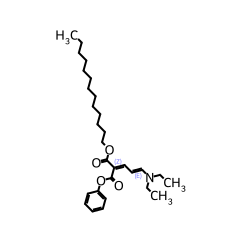 CCCCCCCCCCCCCOC(=O)/C(=C/C=C/N(CC)CC)C(=O)Oc1ccccc1